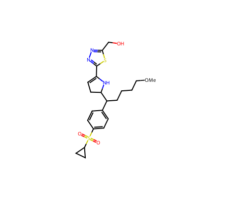 COCCCCC(c1ccc(S(=O)(=O)C2CC2)cc1)C1CC=C(c2nnc(CO)s2)N1